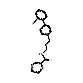 O=C(NCCCc1ccc(-c2ccccc2F)cc1)c1cnccn1